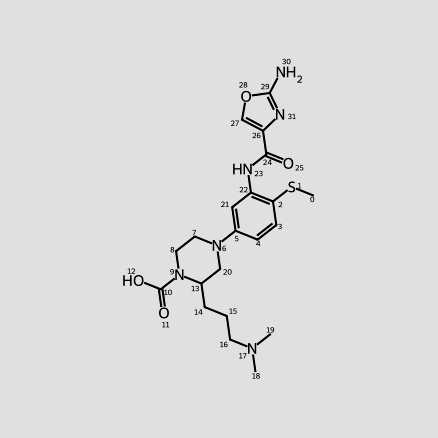 CSc1ccc(N2CCN(C(=O)O)C(CCCN(C)C)C2)cc1NC(=O)c1coc(N)n1